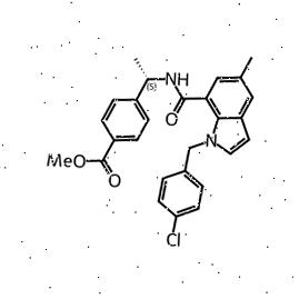 COC(=O)c1ccc([C@H](C)NC(=O)c2cc(C)cc3ccn(Cc4ccc(Cl)cc4)c23)cc1